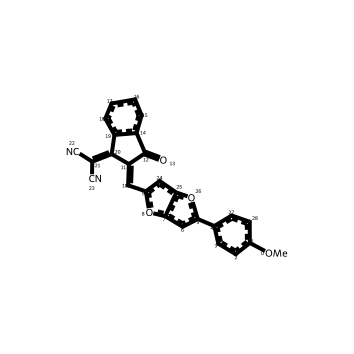 COc1ccc(-c2cc3oc(/C=C4\C(=O)c5ccccc5C4=C(C#N)C#N)cc3o2)cc1